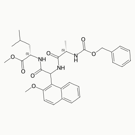 COC(=O)[C@H](CC(C)C)NC(=O)C(NC(=O)[C@H](C)NC(=O)OCc1ccccc1)c1c(OC)ccc2ccccc12